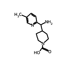 Cc1ccc(C(N)C2CCN(C(=O)O)CC2)nc1